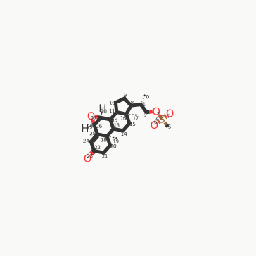 C[C@H](COS(C)(=O)=O)C1CCC2C3C(CC[C@@]21C)[C@@]1(C)CCC(=O)C=C1[C@H]1O[C@@H]31